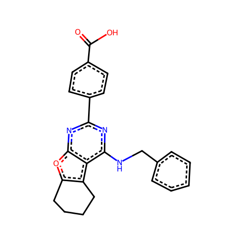 O=C(O)c1ccc(-c2nc(NCc3ccccc3)c3c4c(oc3n2)CCCC4)cc1